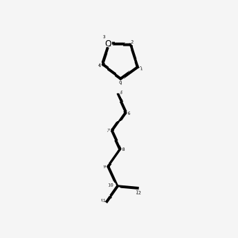 C1CCOC1.CCCCCC(C)C